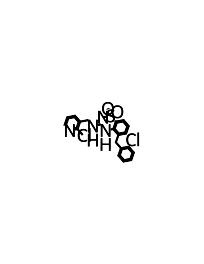 O=S1(=O)N=C(NCc2cccnc2Cl)Nc2c(Cc3ccccc3Cl)cccc21